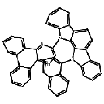 c1ccc2c(-n3c4ccccc4c4ccc5c6ccccc6n(-c6cnc7c8ccccc8c8ccccc8c7n6)c5c43)cccc2c1